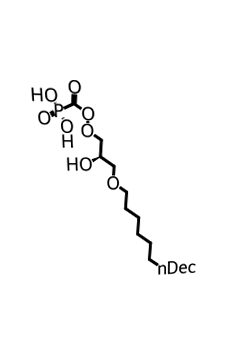 CCCCCCCCCCCCCCCCOC[C@@H](O)COOC(=O)P(=O)(O)O